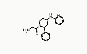 NCC(=O)N1CCC(Nc2ccccn2)CC1c1ccccc1